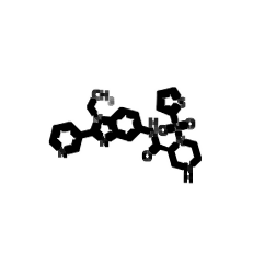 CCn1c(-c2cccnc2)nc2cc(NC(=O)[C@@H]3CNCCN3S(=O)(=O)c3cccs3)ccc21